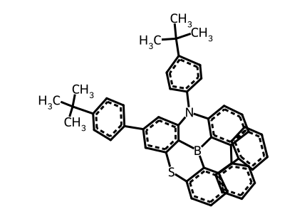 CC(C)(C)c1ccc(-c2cc3c4c(c2)N(c2ccc(C(C)(C)C)cc2)c2cccc(-c5ccccc5)c2B4c2c(cccc2-c2ccccc2)S3)cc1